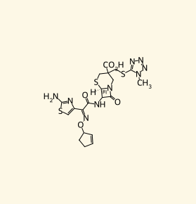 Cn1nnnc1SCC1(C(=O)O)CS[C@@H]2C(NC(=O)C(=NOC3C=CCC3)c3csc(N)n3)C(=O)N2C1